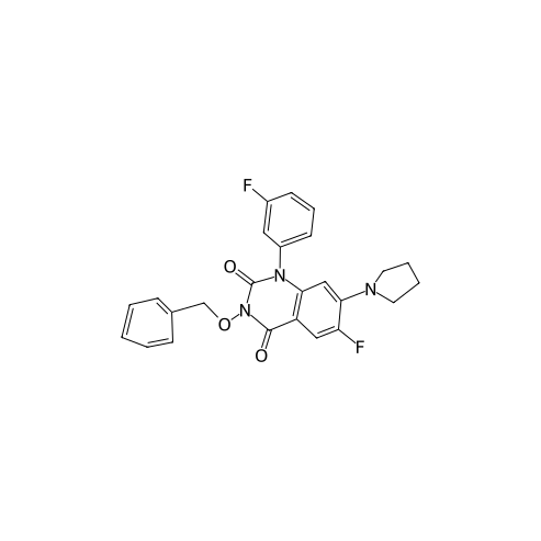 O=c1c2cc(F)c(N3CCCC3)cc2n(-c2cccc(F)c2)c(=O)n1OCc1ccccc1